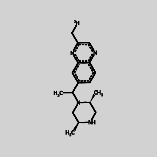 [2H]Cc1cnc2ccc(C(C)N3C[C@H](C)NC[C@H]3C)cc2n1